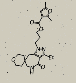 CCc1nn(CCCOC(=O)c2cc(C)oc2C)c2c1C(=O)NCC1(CCOCC1)C2